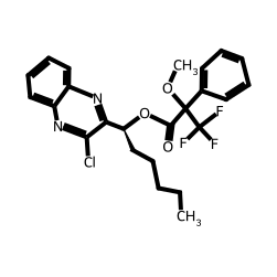 CCCCC[C@H](OC(=O)C(OC)(c1ccccc1)C(F)(F)F)c1nc2ccccc2nc1Cl